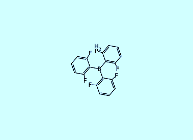 Fc1cccc(F)c1B(c1c(F)cccc1F)c1c(F)cccc1P